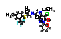 CCCN(C/C(C)=N/C=C(\C)Sc1ccc(C)cc1C(F)(F)F)c1cnn(C2CCCCO2)c(=O)c1Cl